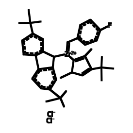 CC1=[C](/[Zr+2](=[CH]\c2ccc(F)cc2)[CH]2c3cc(C(C)(C)C)ccc3-c3ccc(C(C)(C)C)cc32)C(C)C=C1C(C)(C)C.[Cl-].[Cl-]